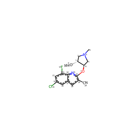 CO[C@@H]1CN(C)C[C@H]1Oc1nc2c(F)cc(Cl)cc2cc1C#N